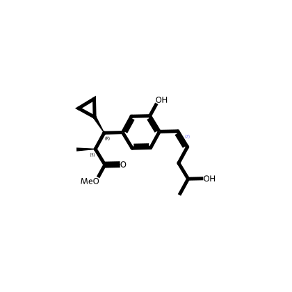 COC(=O)[C@@H](C)[C@H](c1ccc(/C=C\CC(C)O)c(O)c1)C1CC1